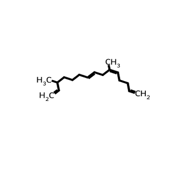 C=CCCC=C(C)CC=CCCCC(C)C=C